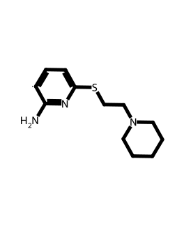 Nc1[c]ccc(SCCN2CCCCC2)n1